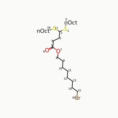 CCCCCCCCSC(CCC(=O)OCCCCCCCCBr)SCCCCCCCC